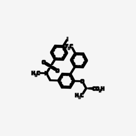 C[C@@H](Oc1ccc(CN(C)S(=O)(=O)c2ccc(I)cc2)cc1-c1cccc(C(F)(F)F)c1)C(=O)O